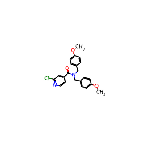 COc1ccc(CN(Cc2ccc(OC)cc2)C(=O)c2ccnc(Cl)c2)cc1